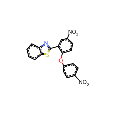 O=[N+]([O-])c1ccc(Oc2ccc([N+](=O)[O-])cc2-c2nc3ccccc3s2)cc1